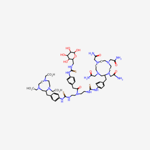 NC(=O)CN1CCN(CC(N)=O)CCN(CC(N)=O)C(Cc2ccc(NC(=S)NCCN(CCNC(=S)Nc3ccc(CC4CN(CC(=O)O)CCN(CC(=O)O)CCN4CC(=O)O)cc3)C(=O)Cc3ccc(NC(=S)NCC4OC(O)C(O)C(O)C4O)cc3)cc2)CN(CC(N)=O)CC1